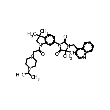 CC(C)N1CCN(CC(=O)N2CC(C)(C)c3ccc(N4C(=O)N(Cc5ccnc6ccccc56)C(C)(C)C4=O)cc32)CC1